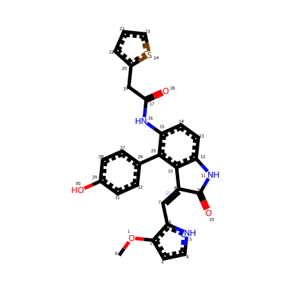 COc1cc[nH]c1/C=C1\C(=O)Nc2ccc(NC(=O)Cc3cccs3)c(-c3ccc(O)cc3)c21